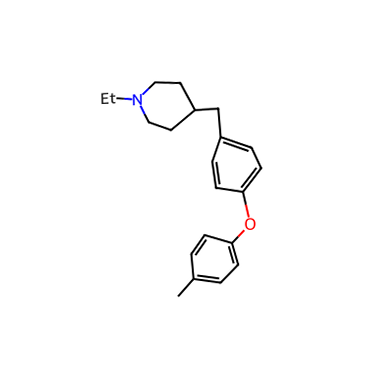 CCN1CCC(Cc2ccc(Oc3ccc(C)cc3)cc2)CC1